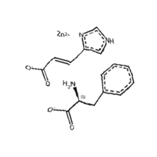 N[C@@H](Cc1ccccc1)C(=O)[O-].O=C([O-])C=Cc1c[nH]cn1.[Zn+2]